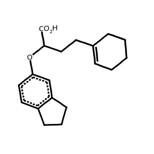 O=C(O)C(CCC1=CCCCC1)Oc1ccc2c(c1)CCC2